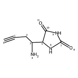 C#CCC(N)C1NC(=O)NC1=O